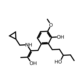 CCC(O)CCc1c(C/C(NCC2CC2)=C(/C)O)ccc(OC)c1O